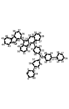 c1ccc(-c2ccc(N(c3ccc(-c4ccccc4)cc3)c3ccc(-c4c5ccccc5cc5c(-c6cccc7c6sc6ccccc67)c6ccccc6n45)cc3)cc2)cc1